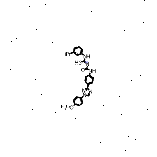 CC(C)c1cccc(N/C(S)=N/C(=O)Nc2ccc(-c3ncn(-c4ccc(OC(F)(F)F)cc4)n3)cc2)c1